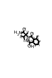 Cc1cccc(C(=O)O)c1C(=O)NC(C)(C(N)=O)C(C)C